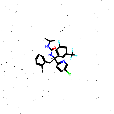 Cc1ccccc1C[C@](NC(=O)NC(C)C)(c1cc(F)cc(C(F)(F)F)c1)c1ccc(Cl)cn1